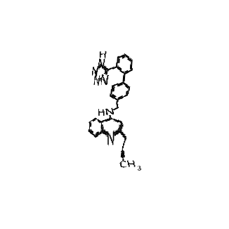 CC#CCc1cc(NCc2ccc(-c3ccccc3-c3nnn[nH]3)cc2)c2ccccc2n1